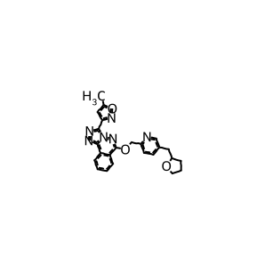 Cc1cc(-c2nnc3c4ccccc4c(OCc4ccc(CC5CCCO5)cn4)nn23)no1